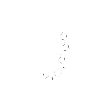 O=C(c1ccc(Nc2nccc(-c3ccc(Cl)cc3)n2)cc1)N1CCN(C(=O)c2ccc[nH]2)CC1